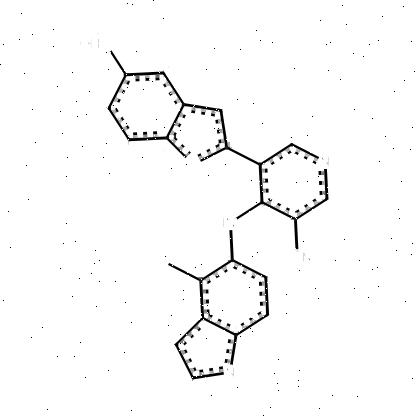 Cc1c(Nc2c(C#N)cncc2-c2cc3cc(C=O)ccc3o2)ccc2[nH]ccc12